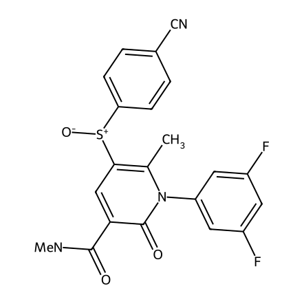 CNC(=O)c1cc([S+]([O-])c2ccc(C#N)cc2)c(C)n(-c2cc(F)cc(F)c2)c1=O